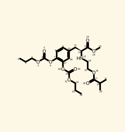 CCCOC(=O)Oc1ccc(C[C@H](NCCOC(=O)C(C)C)C(=O)OC)cc1OC(=O)OCCC